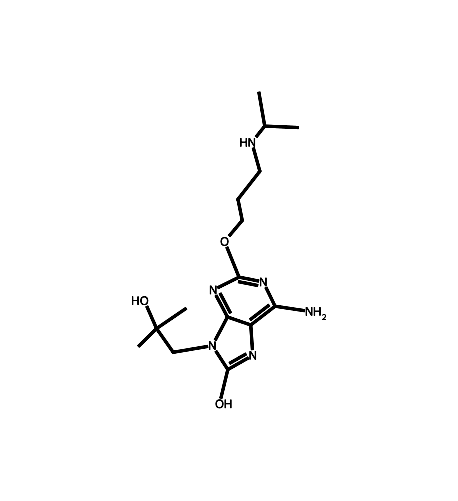 CC(C)NCCCOc1nc(N)c2nc(O)n(CC(C)(C)O)c2n1